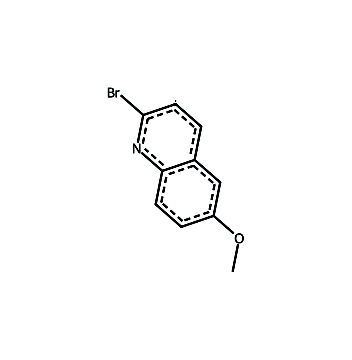 COc1ccc2nc(Br)[c]cc2c1